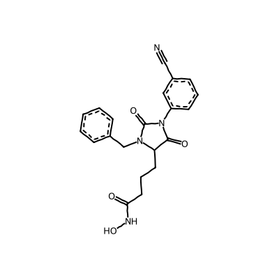 N#Cc1cccc(N2C(=O)C(CCCC(=O)NO)N(Cc3ccccc3)C2=O)c1